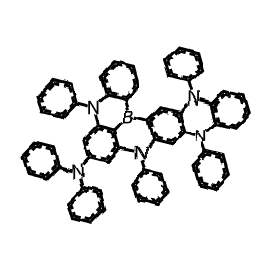 c1ccc(N(c2ccccc2)c2cc3c4c(c2)N(c2ccccc2)c2cc5c(cc2B4c2ccccc2N3c2ccccc2)N(c2ccccc2)c2ccccc2N5c2ccccc2)cc1